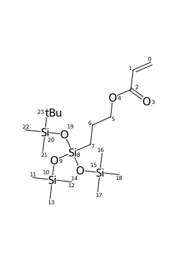 C=CC(=O)OCCC[Si](O[Si](C)(C)C)(O[Si](C)(C)C)O[Si](C)(C)C(C)(C)C